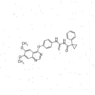 COc1cc2ncnc(Oc3ccc(NC(=S)NC(=O)C4(c5ccccc5)CC4)cc3)c2cc1OC